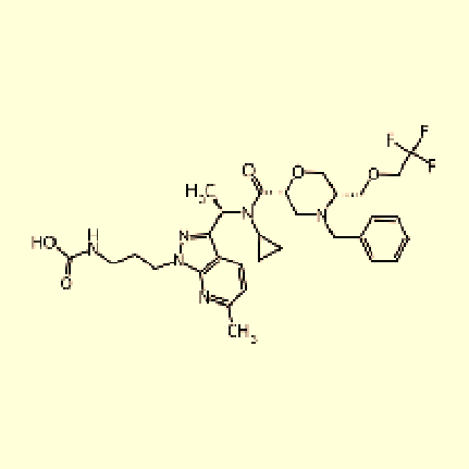 Cc1ccc2c([C@@H](C)N(C(=O)[C@H]3CN(Cc4ccccc4)[C@@H](COCC(F)(F)F)CO3)C3CC3)nn(CCCNC(=O)O)c2n1